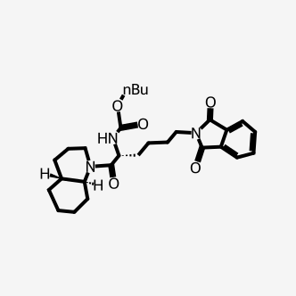 CCCCOC(=O)N[C@H](CCCCN1C(=O)c2ccccc2C1=O)C(=O)N1CCC[C@H]2CCCC[C@@H]21